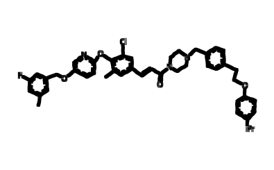 Cc1cc(F)cc(COc2ccc(Oc3c(C)cc(/C=C/C(=O)N4CCN(Cc5ccc(CCOc6ccc(C(C)C)cc6)cc5)CC4)cc3Cl)nc2)c1